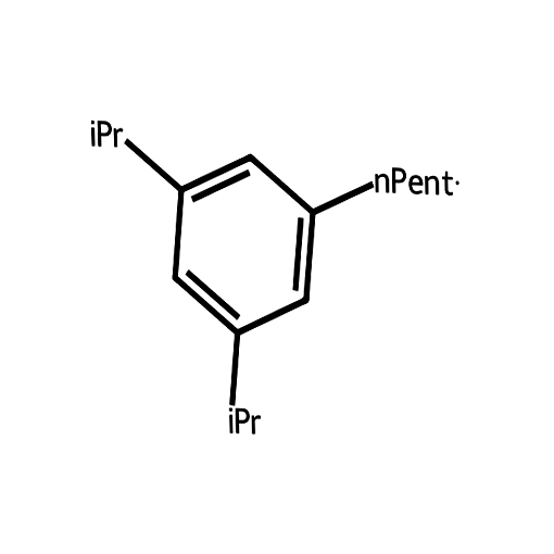 CCCC[CH]c1cc(C(C)C)cc(C(C)C)c1